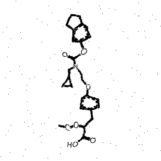 CCOC(Cc1ccc(OCCN(CC2CC2)C(=O)Oc2ccc3c(c2)CCC3)cc1)C(=O)O